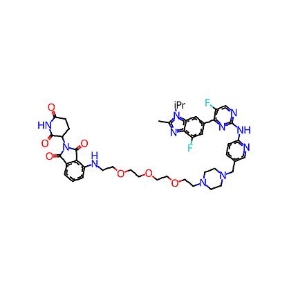 Cc1nc2c(F)cc(-c3nc(Nc4ccc(CN5CCN(CCOCCOCCOCCNc6cccc7c6C(=O)N(C6CCC(=O)NC6=O)C7=O)CC5)cn4)ncc3F)cc2n1C(C)C